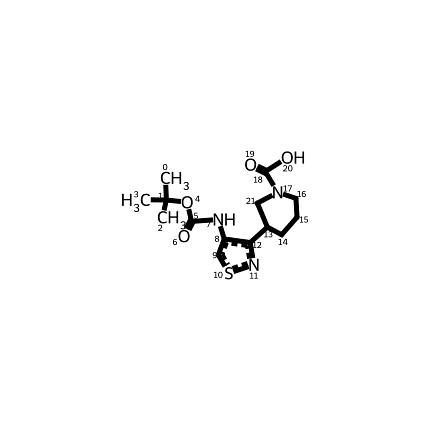 CC(C)(C)OC(=O)Nc1csnc1C1CCCN(C(=O)O)C1